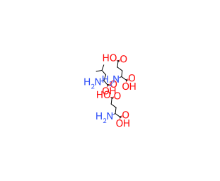 CC(C)CC(N)C(=O)O.NC(CCC(=O)O)C(=O)O.NC(CCC(=O)O)C(=O)O